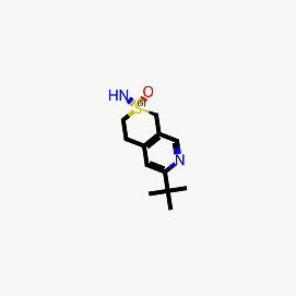 CC(C)(C)c1cc2c(cn1)C[S@@](=N)(=O)CC2